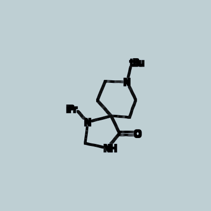 CC(C)N1CNC(=O)C12CCN(C(C)(C)C)CC2